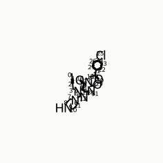 CC#CCn1c(N2CCNCC2)nc2c1c(=O)n(CC(=O)c1ccc(Cl)cc1)c(=O)n2C